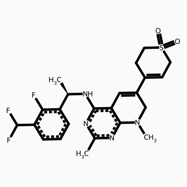 Cc1nc(N[C@H](C)c2cccc(C(F)F)c2F)c2c(n1)N(C)CC(C1=CCS(=O)(=O)CC1)=C2